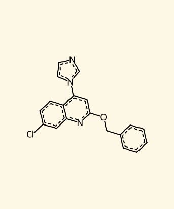 Clc1ccc2c(-n3ccnc3)cc(OCc3ccccc3)nc2c1